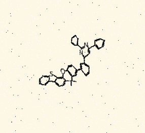 CC1(C)c2cc(-c3cccc(-c4cc(-c5ccccc5)nc(-c5ccccc5)n4)c3)ccc2Oc2c1ccc1c2sc2ccccc21